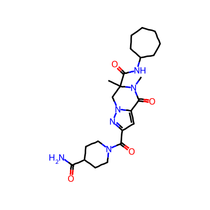 CN1C(=O)c2cc(C(=O)N3CCC(C(N)=O)CC3)nn2CC1(C)C(=O)NC1CCCCCC1